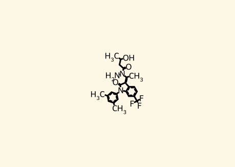 C/C(=C1/C(=O)N(c2cc(C)cc(C)c2)c2cc(C(F)(F)F)ccc21)N(N)C(=O)CC(C)O